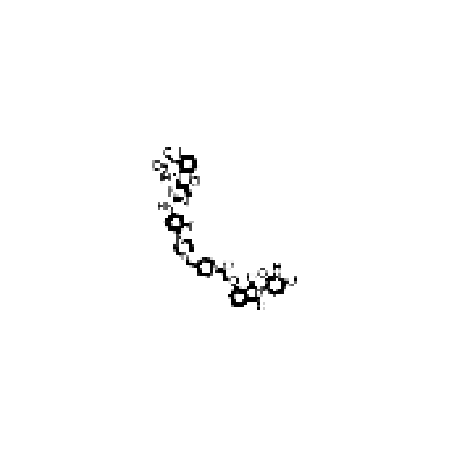 CN([SH]=O)c1ccccc1Nc1nc(Nc2ccc(N3CCN(CC4CCN(C(=O)COc5cccc6c5C(=O)N(C5CCC(=O)NC5=O)C6=O)CC4)CC3)c(F)c2)ncc1Cl